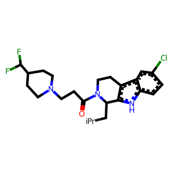 CC(C)CC1c2[nH]c3ccc(Cl)cc3c2CCN1C(=O)CCN1CCC(C(F)F)CC1